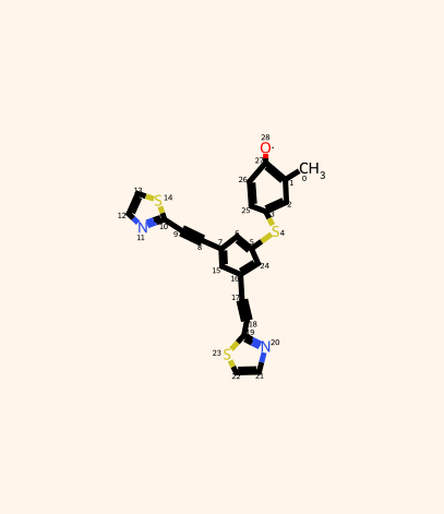 Cc1cc(Sc2cc(C#Cc3nccs3)cc(C#Cc3nccs3)c2)ccc1[O]